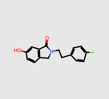 O=C1c2cc(O)ccc2CN1CCc1ccc(F)cc1